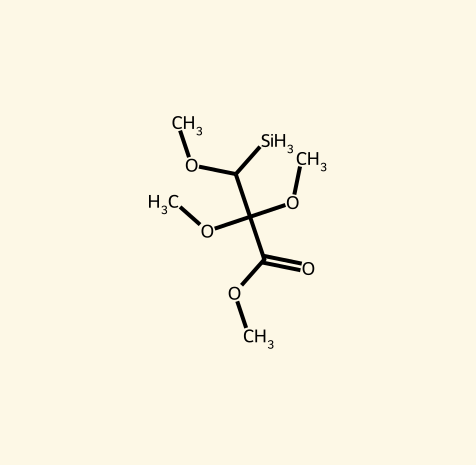 COC(=O)C(OC)(OC)C([SiH3])OC